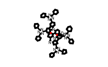 N#Cc1cccc(-c2cc(C(F)(F)F)ccc2-n2c3ccc(-c4nc(-c5ccccc5)nc(-c5ccccc5)n4)cc3c3cc(-c4nc(-c5ccccc5)nc(-c5ccccc5)n4)ccc32)c1-n1c2ccc(-c3nc(-c4ccccc4)nc(-c4ccccc4)n3)cc2c2cc(-c3nc(-c4ccccc4)nc(-c4ccccc4)n3)ccc21